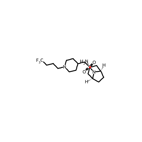 N[C@@H]1C[C@H]2CC[C@@H](C1)N2S(=O)(=O)CC1CCN(CCCC(F)(F)F)CC1